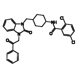 O=C(Cn1c(=O)n(CC2CCC(NC(=O)c3cc(Cl)ccc3Cl)CC2)c2ccccc21)c1ccccc1